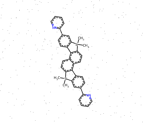 C[Si]1(C)c2cc(-c3ccccn3)ccc2-c2c1ccc1c3c(ccc21)[Si](C)(C)c1cc(-c2ccccn2)ccc1-3